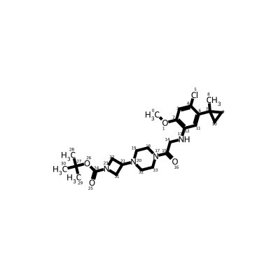 COc1cc(Cl)c(C2(C)CC2)cc1NCC(=O)N1CCN(C2CN(C(=O)OC(C)(C)C)C2)CC1